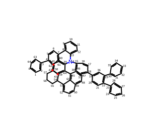 c1ccc(-c2ccc(-c3ccccc3N(c3ccc(-c4ccc(-c5ccccc5)c(-c5ccccc5)c4)cc3)c3ccccc3-c3cccc4cccc(C5CCCCC5)c34)cc2)cc1